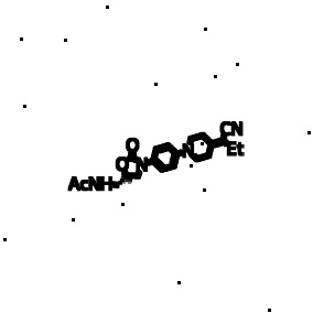 CCC(C#N)=C1CCN(c2ccc(N3C[C@H](CNC(C)=O)OC3=O)cc2)CC1